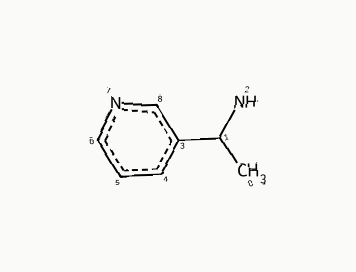 CC([NH])c1cccnc1